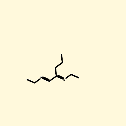 CCCC(/C=N/CC)=N\CC